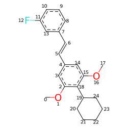 COc1cc(C=Cc2cccc(F)c2)cc(OC)c1C1CCCCC1